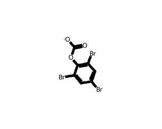 [O]C(=O)Oc1c(Br)cc(Br)cc1Br